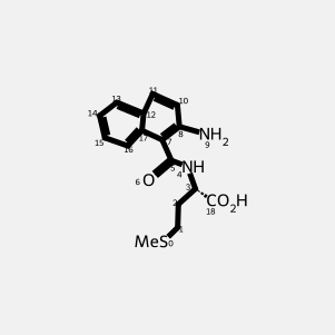 CSCC[C@H](NC(=O)c1c(N)ccc2ccccc12)C(=O)O